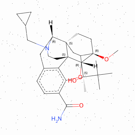 CO[C@]12CC[C@@]3(CC1[C@](C)(O)C(C)(C)C)[C@H]1Cc4ccc(C(N)=O)c5c4[C@@]3(CCN1CC1CC1)[C@H]2O5